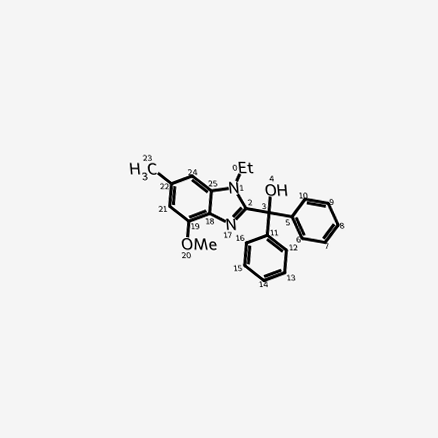 CCn1c(C(O)(c2ccccc2)c2ccccc2)nc2c(OC)cc(C)cc21